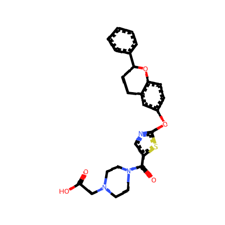 O=C(O)CN1CCN(C(=O)c2cnc(Oc3ccc4c(c3)CCC(c3ccccc3)O4)s2)CC1